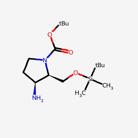 CC(C)(C)OC(=O)N1CC[C@H](N)[C@@H]1CO[Si](C)(C)C(C)(C)C